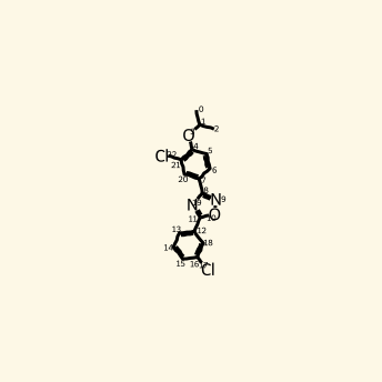 CC(C)Oc1ccc(-c2noc(-c3cccc(Cl)c3)n2)cc1Cl